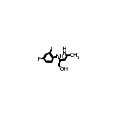 CC(=N)/C=C(/CO)Nc1ccc(F)cc1I